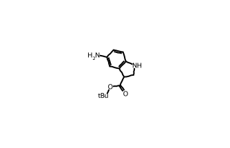 CC(C)(C)OC(=O)C1CNc2ccc(N)cc21